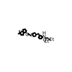 CCN(CC)CC(=O)Nc1cccc(CC2CCN(CCOc3cccc4nc(C)ccc34)CC2)c1